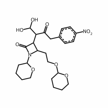 O=C(Cc1ccc([N+](=O)[O-])cc1)C(C(O)O)C1C(=O)N(C2CCCCO2)C1CCOC1CCCCO1